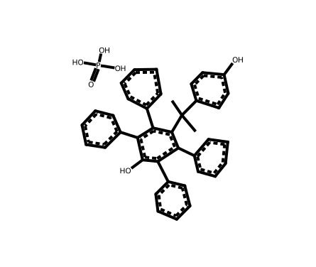 CC(C)(c1ccc(O)cc1)c1c(-c2ccccc2)c(-c2ccccc2)c(O)c(-c2ccccc2)c1-c1ccccc1.O=P(O)(O)O